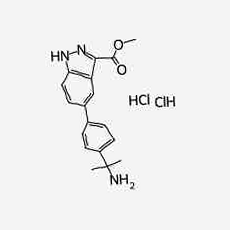 COC(=O)c1n[nH]c2ccc(-c3ccc(C(C)(C)N)cc3)cc12.Cl.Cl